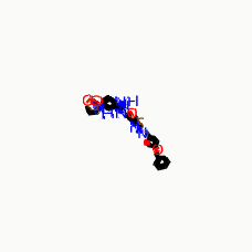 O=C(Cc1csc(/N=C/c2ccc(OCc3ccccc3)cc2)n1)Nc1n[nH]c2ccc(N3CCCS3(=O)=O)cc12